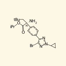 CC(C)OC(=O)[C@@](N)(CC(C)(C)C)c1ccc(-c2nn(C3CC3)nc2Br)cc1